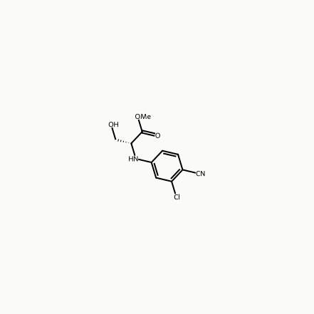 COC(=O)[C@@H](CO)Nc1ccc(C#N)c(Cl)c1